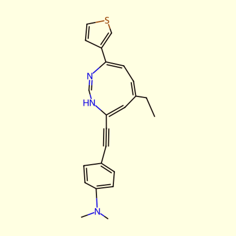 CCc1ccc(-c2ccsc2)nc[nH]c(C#Cc2ccc(N(C)C)cc2)c1